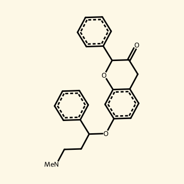 CNCCC(Oc1ccc2c(c1)OC(c1ccccc1)C(=O)C2)c1ccccc1